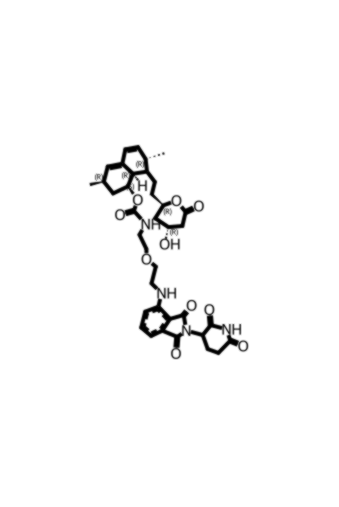 C[C@H]1C=C2C=C[C@H](C)C(CC[C@@H]3C[C@@H](O)CC(=O)O3)[C@H]2[C@@H](OC(=O)NCCOCCNc2cccc3c2C(=O)N(C2CCC(=O)NC2=O)C3=O)C1